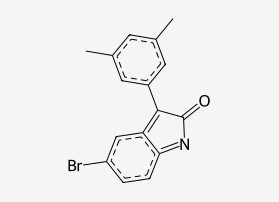 Cc1cc(C)cc(C2=c3cc(Br)ccc3=NC2=O)c1